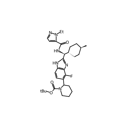 CCn1nccc1C(=O)N[C@H](c1nc2c(F)c(C3CCCCN3C(=O)OC(C)(C)C)ccc2[nH]1)[C@H]1CC[C@H](C)CC1